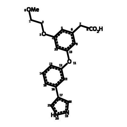 COCCOc1cc(CC(=O)O)cc(Oc2cccc(-c3cn[nH]c3)c2)c1